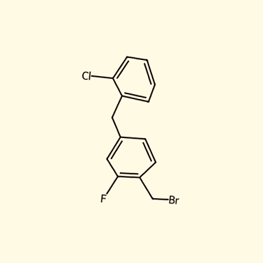 Fc1cc(Cc2ccccc2Cl)ccc1CBr